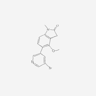 COc1c(-c2cncc(Br)c2)ccc2c1CC(=O)N2C